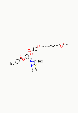 C=CC(=O)OCCCCCCCCCCOc1ccc(C(=O)Oc2ccc(OC(=O)C3CCC(CC)CC3)cc2C=NN(CCCCCC)c2nc3ccccc3s2)cc1